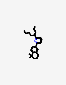 CCCCC(CCC)c1c#ccc(-c2ccc3c(c2)CCCC3(C)C)n1